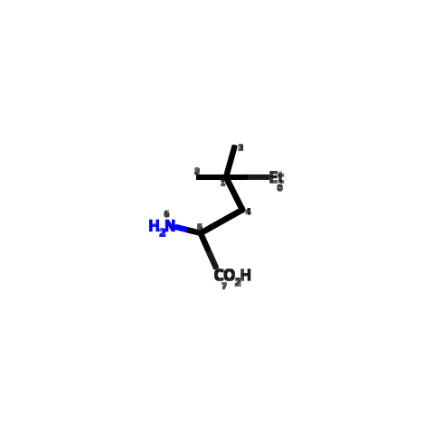 CCC(C)(C)CC(N)C(=O)O